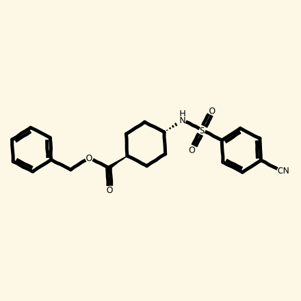 N#Cc1ccc(S(=O)(=O)N[C@H]2CC[C@H](C(=O)OCc3ccccc3)CC2)cc1